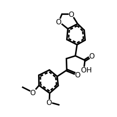 COc1ccc(C(=O)CC(C(=O)O)c2ccc3c(c2)OCO3)cc1OC